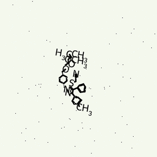 Cc1ccc(-c2nn(C[C@H]3CC[C@H](COCC(=O)OC(C)(C)C)CC3)c(SCC#N)c2-c2ccccc2)cc1